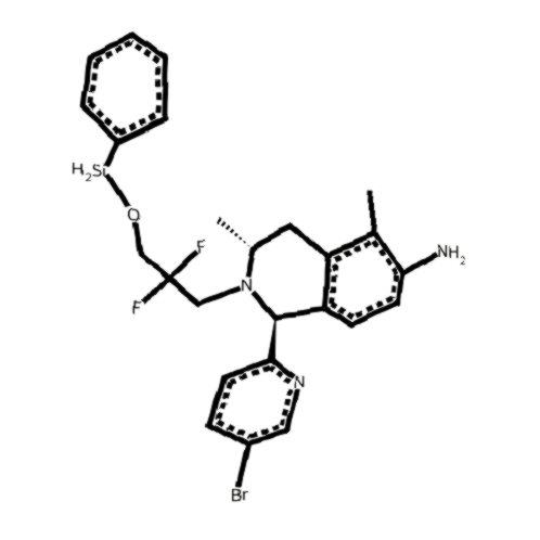 Cc1c(N)ccc2c1C[C@@H](C)N(CC(F)(F)CO[SiH2]c1ccccc1)[C@@H]2c1ccc(Br)cn1